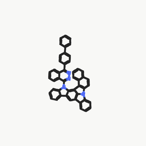 c1ccc(-c2ccc(-c3nnc(-n4c5ccccc5c5cc6c7ccccc7n7c8ccc9ccccc9c8c(c54)c67)c4ccccc34)cc2)cc1